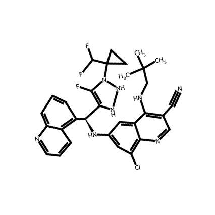 CC(C)(C)CNc1c(C#N)cnc2c(Cl)cc(N[C@H](C3=C(F)N(C4(C(F)F)CC4)NN3)c3cccc4ncccc34)cc12